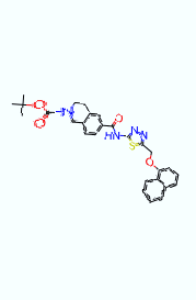 CC(C)(C)OC(=O)N1CCc2cc(C(=O)Nc3nnc(COc4cccc5ccccc45)s3)ccc2C1